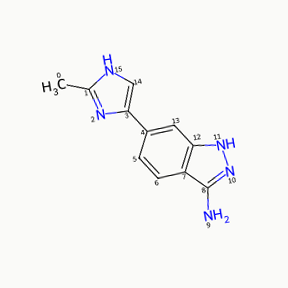 Cc1nc(-c2ccc3c(N)n[nH]c3c2)c[nH]1